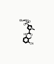 Cn1cc(S(=O)(=O)NC(C)(C)C)cc1C(=O)Nc1cccc(C#N)c1F